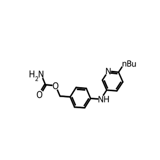 CCCCc1ccc(Nc2ccc(COC(N)=O)cc2)cn1